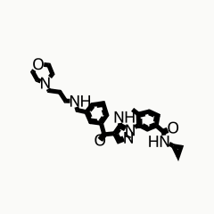 Cc1ccc(C(=O)NC2CC2)cc1-n1ncc(C(=O)c2cccc(CNCCCN3CCOCC3)c2)c1N